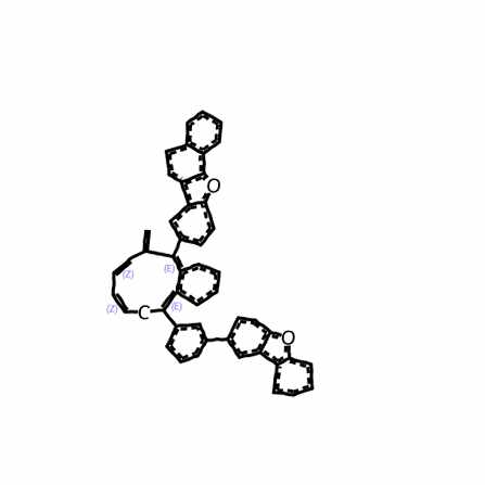 C=C1/C=C\C=C/C/C(c2cccc(-c3ccc4oc5ccccc5c4c3)c2)=c2/cccc/c2=C/1c1ccc2oc3c4ccccc4ccc3c2c1